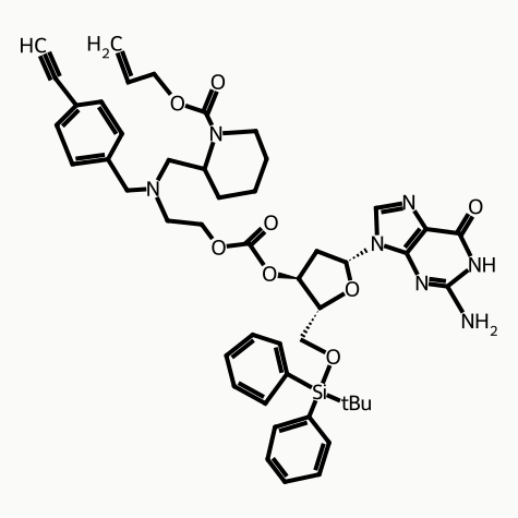 C#Cc1ccc(CN(CCOC(=O)O[C@H]2C[C@H](n3cnc4c(=O)[nH]c(N)nc43)O[C@@H]2CO[Si](c2ccccc2)(c2ccccc2)C(C)(C)C)CC2CCCCN2C(=O)OCC=C)cc1